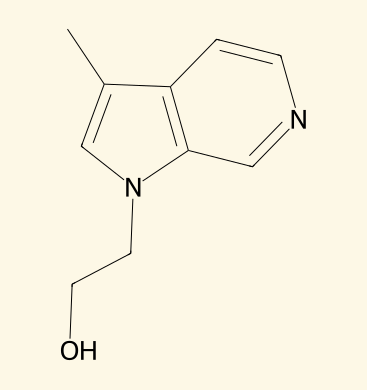 Cc1cn(CCO)c2cnccc12